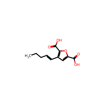 CCCC=Cc1cc(C(=O)O)oc1C(=O)O